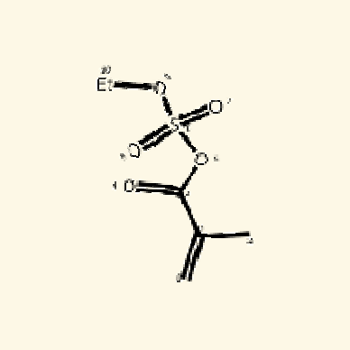 C=C(C)C(=O)OS(=O)(=O)OCC